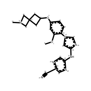 COc1cc(OC2CC3(C2)CN(C)C3)ccc1-n1cnc(Nc2cnc(C#N)cn2)c1